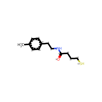 Cc1ccc(CCNC(=O)CCCS)cc1